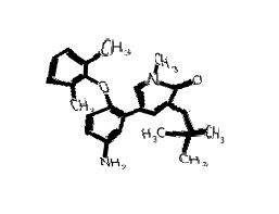 Cc1cccc(C)c1Oc1ccc(N)cc1-c1cc([CH]C(C)(C)C)c(=O)n(C)c1